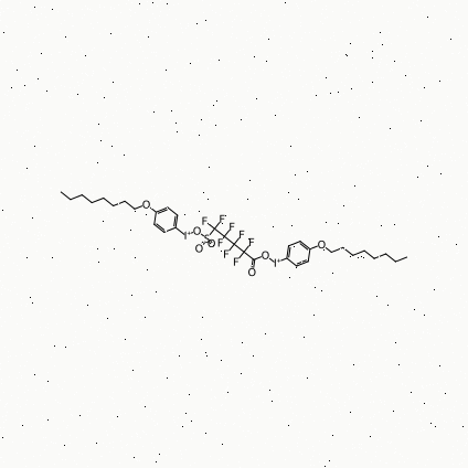 CCCCCCCCOc1ccc([I+]OC(=O)C(F)(F)C(F)(F)C(F)(F)C(F)(F)S(=O)(=O)O[I+]c2ccc(OCCCCCCCC)cc2)cc1